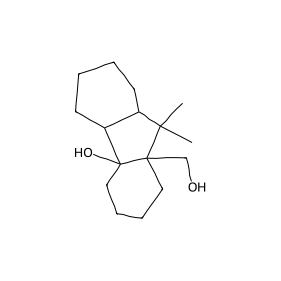 CC1(C)C2CCCCC2C2(O)CCCCC12CO